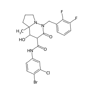 CC12CCCN1N(Cc1cccc(F)c1F)C(=O)C(C(=O)Nc1ccc(Br)c(Cl)c1)C2O